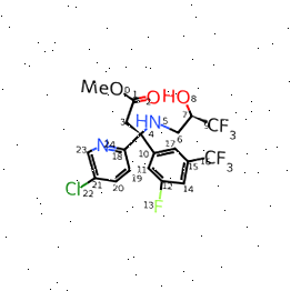 COC(=O)C[C@@](NC[C@@H](O)C(F)(F)F)(c1cc(F)cc(C(F)(F)F)c1)c1ccc(Cl)cn1